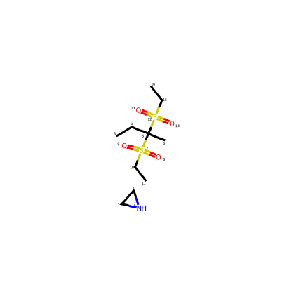 C1CN1.CCC(C)(S(=O)(=O)CC)S(=O)(=O)CC